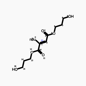 CCCC/C(=C\C(=O)OCCCO)C(=O)OCCCO